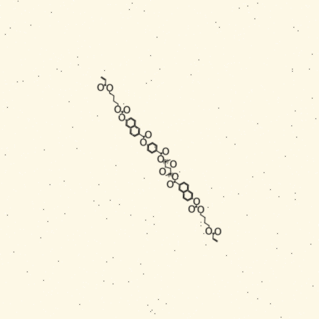 C=CC(=O)OCCCCOC(=O)Oc1ccc2cc(C(=O)Oc3ccc(C(=O)O[C@@H]4COC5C4OC[C@H]5OC(=O)c4ccc5cc(OC(=O)OCCCCOC(=O)C=C)ccc5c4)cc3)ccc2c1